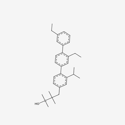 CCc1cccc(-c2ccc(-c3ccc(CC(C)(C)[Si](C)(C)O)cc3C(C)C)cc2CC)c1